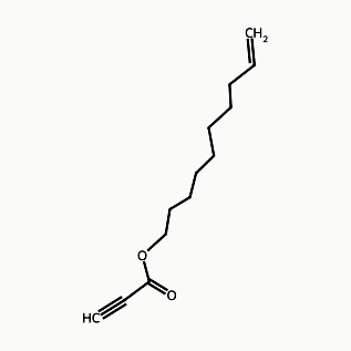 C#CC(=O)OCCCCCCCCC=C